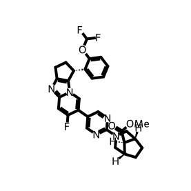 COC(=O)[C@@H]1[C@@H]2CC[C@H]1CN(c1ncc(-c3cn4c5c(nc4cc3F)CC[C@@H]5c3ccccc3OC(F)F)cn1)C2